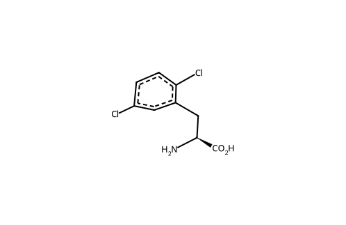 N[C@@H](Cc1cc(Cl)ccc1Cl)C(=O)O